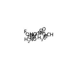 C#C[C@@]1(OC)CC[C@@H](C(=O)N2CCC(O)(Cn3cnc(Oc4ccc(F)cc4)c(N)c3=O)CC2)[C@H](c2ccccc2)C1